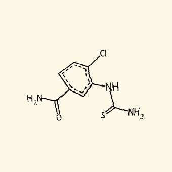 NC(=O)c1ccc(Cl)c(NC(N)=S)c1